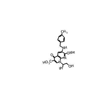 COc1nc2c(cc1NCc1ccc(C)cc1)c(=O)c(C(=O)O)cn2C(CO)C(C)C